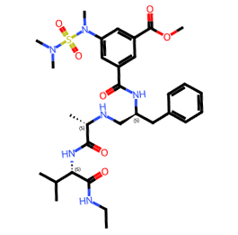 CCNC(=O)[C@@H](NC(=O)[C@H](C)NC[C@H](Cc1ccccc1)NC(=O)c1cc(C(=O)OC)cc(N(C)S(=O)(=O)N(C)C)c1)C(C)C